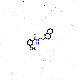 Cc1cccc(C(=O)NCCc2ccc3ccccc3c2)c1